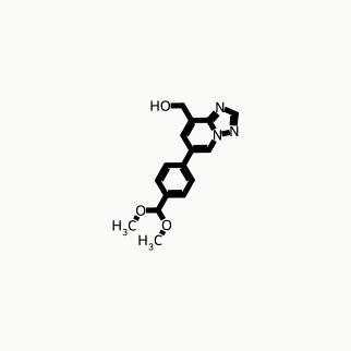 COC(OC)c1ccc(-c2cc(CO)c3ncnn3c2)cc1